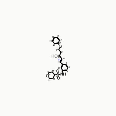 O=S(=O)(Nc1cccc(/C=C/[C@H](O)CCOc2[c]cccc2)c1)C1CCOCC1